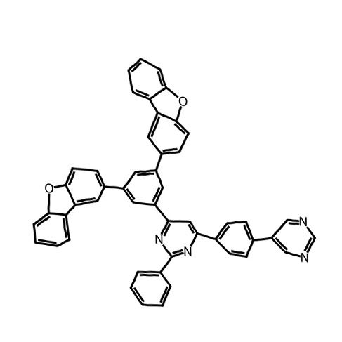 c1ccc(-c2nc(-c3ccc(-c4cncnc4)cc3)cc(-c3cc(-c4ccc5oc6ccccc6c5c4)cc(-c4ccc5oc6ccccc6c5c4)c3)n2)cc1